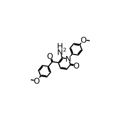 COc1ccc(C(=O)c2ccc(=O)n(-c3ccc(OC)cc3)c2N)cc1